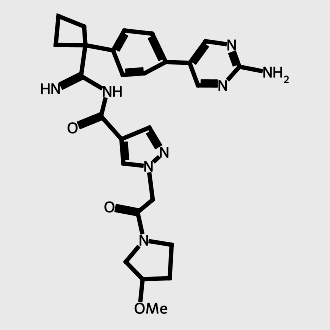 COC1CCN(C(=O)Cn2cc(C(=O)NC(=N)C3(c4ccc(-c5cnc(N)nc5)cc4)CCC3)cn2)C1